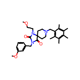 COCCN1C(=O)N(Cc2cccc(OC)c2)C(=O)C12CCN(Cc1c(C)c(C)c(C)c(C)c1C)CC2